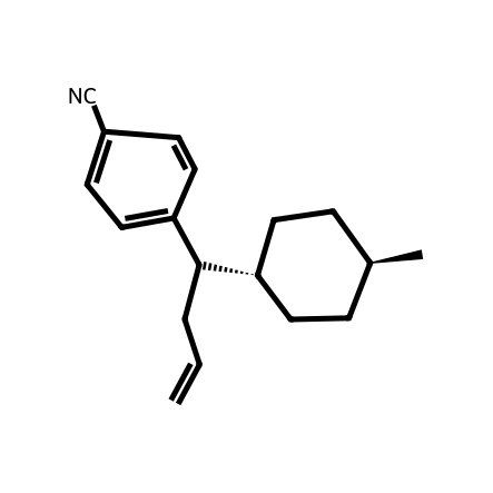 C=CCC(c1ccc(C#N)cc1)[C@H]1CC[C@H](C)CC1